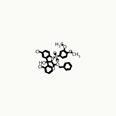 COc1ccc(S(=O)(=O)N2c3ccc(Cl)cc3C(O)(c3ccccc3Cl)C2C(=O)OCc2ccccc2)cc1OC